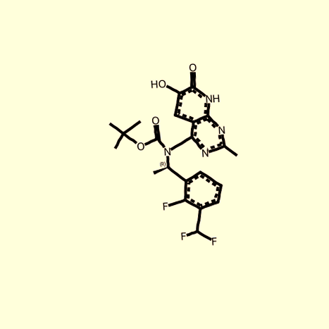 Cc1nc(N(C(=O)OC(C)(C)C)[C@H](C)c2cccc(C(F)F)c2F)c2cc(O)c(=O)[nH]c2n1